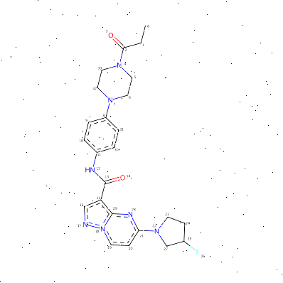 CCC(=O)N1CCN(c2ccc(NC(=O)c3cnn4ccc(N5CCC(F)C5)nc34)cc2)CC1